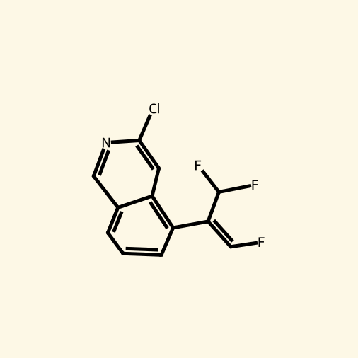 FC=C(c1cccc2cnc(Cl)cc12)C(F)F